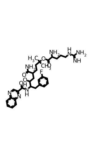 CC(C)(CCC(CC(O)C(Cc1cccc(F)c1)NC(=O)c1cnc2ccccc2n1)C(N)=O)OC(=O)C(N)CCCNC(=N)N